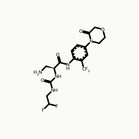 NC[C@H](NC(=O)NCC(F)F)C(=O)Nc1ccc(N2CCOCC2=O)cc1C(F)(F)F